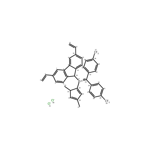 C=Cc1ccc2c(c1)-c1cc(C=C)ccc1[CH]2[Zr+2]([C]1=CC(C)=CC1C)=[C](c1ccc(C(F)(F)F)cc1)c1ccc(C(F)(F)F)cc1.[Cl-].[Cl-]